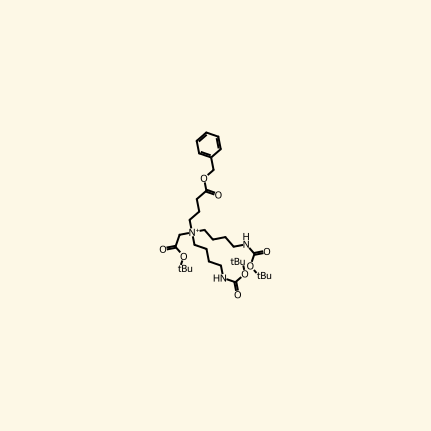 CC(C)(C)OC(=O)C[N+](CCCCNC(=O)OC(C)(C)C)(CCCCNC(=O)OC(C)(C)C)CCCC(=O)OCc1ccccc1